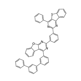 c1ccc(-c2cccc(-c3cccc(-c4nc(-c5cccc(-c6nc(-c7ccccc7)c7sc8ccccc8c7n6)c5)nc5oc6ccccc6c45)c3)c2)cc1